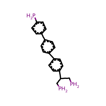 PCC(CP)c1ccc(-c2ccc(-c3ccc(P)cc3)cc2)cc1